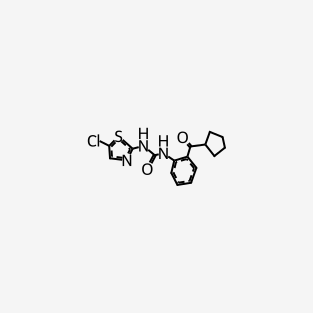 O=C(Nc1ncc(Cl)s1)Nc1ccccc1C(=O)C1CCCC1